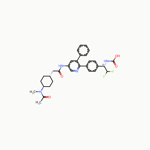 CC(=O)N(C)[C@H]1CC[C@H](CC(=O)Nc2cnc(-c3ccc([C@H](NC(=O)O)C(F)F)cc3)c(-c3ccccc3)c2)CC1